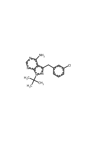 CC(C)(C)n1nc(Cc2cccc(Cl)c2)c2c(N)ncnc21